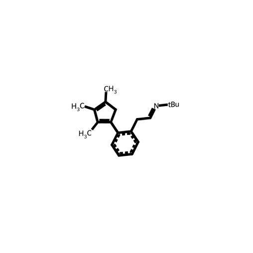 CC1=C(C)C(C)=C(c2ccccc2CC=NC(C)(C)C)C1